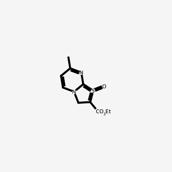 CCOC(=O)C1=S(=O)=C2N=C(C)C=CN2C1